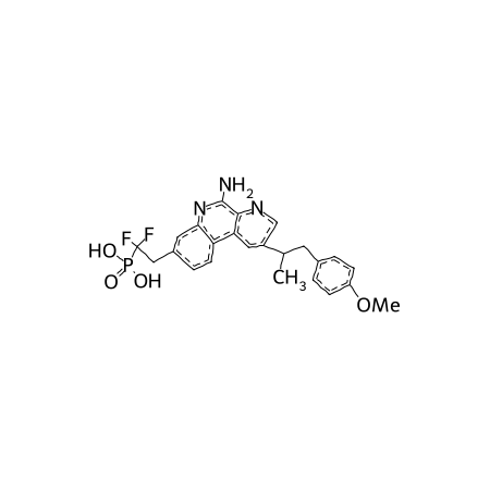 COc1ccc(CC(C)c2cnc3c(N)nc4cc(CC(F)(F)P(=O)(O)O)ccc4c3c2)cc1